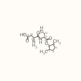 CC1CCC(C)C1OC(=O)[C@H](CO)NC(=O)[C@@H](N)CC(=O)O